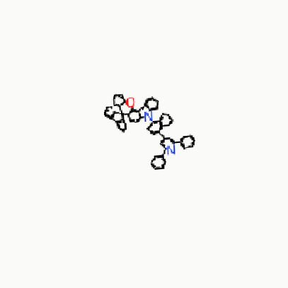 c1ccc(-c2cc(-c3ccc(-n4c5ccccc5c5c6c(ccc54)C4(c5ccccc5O6)c5ccccc5-c5ccccc54)c4ccccc34)cc(-c3ccccc3)n2)cc1